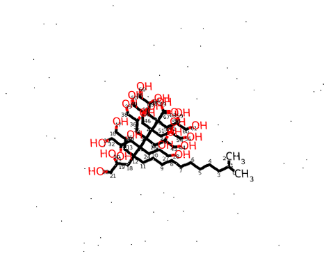 CC(C)CCCCCCCCCC(CC(O)CO)(CC(O)CO)C(CC(O)CO)(CC(O)CO)C(CC(O)CO)(CC(O)CO)C(CC(O)CO)(CC(O)CO)C(CC(O)CO)(CC(O)CO)C(=O)O